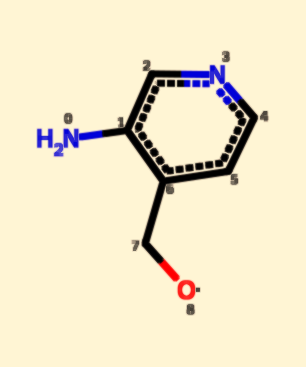 Nc1cnccc1C[O]